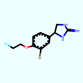 N=C1NCC(c2ccc(OCC[18F])c(Br)c2)N1